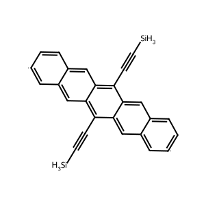 [SiH3]C#Cc1c2cc3c[c]ccc3cc2c(C#C[SiH3])c2cc3cc[c]cc3cc12